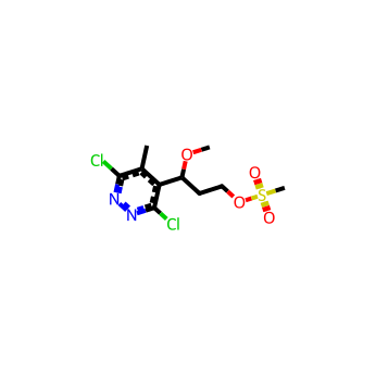 COC(CCOS(C)(=O)=O)c1c(Cl)nnc(Cl)c1C